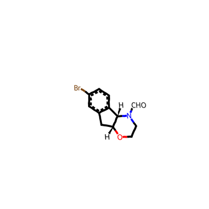 O=CN1CCO[C@@H]2Cc3cc(Br)ccc3[C@@H]21